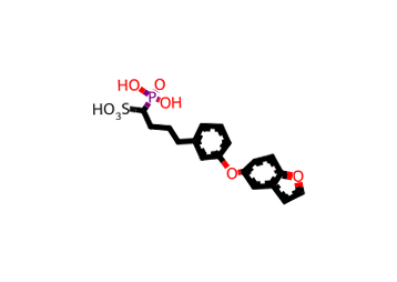 O=P(O)(O)C(CCCc1cccc(Oc2ccc3occc3c2)c1)S(=O)(=O)O